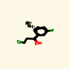 OC(CCCl)c1cccc(F)c1.[BH4-].[Na+]